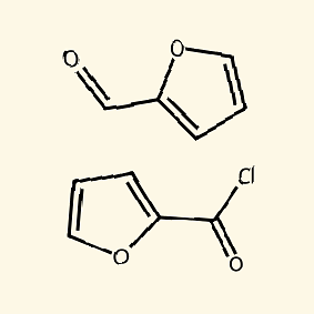 O=C(Cl)c1ccco1.O=Cc1ccco1